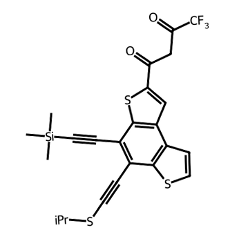 CC(C)SC#Cc1c(C#C[Si](C)(C)C)c2sc(C(=O)CC(=O)C(F)(F)F)cc2c2ccsc12